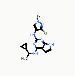 CC(Nc1nc(Nc2cn(C(C)C)nc2Cl)nc2[nH]ccc12)C1CC1